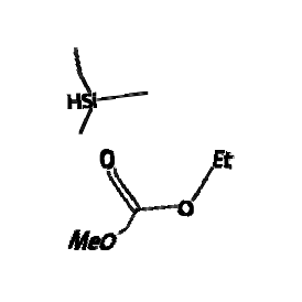 CCOC(=O)OC.C[SiH](C)C